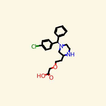 O=C(O)COCCC1CN([C@@H](c2ccccc2)c2ccc(Cl)cc2)CCN1